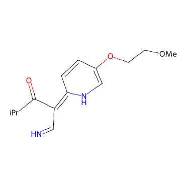 COCCOC1=CN/C(=C(\C=N)C(=O)C(C)C)C=C1